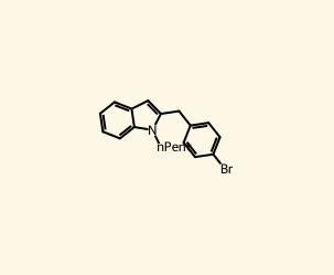 CCCCCn1c(Cc2ccc(Br)cc2)cc2ccccc21